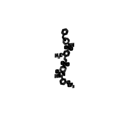 Cc1cc(S(=O)(=O)NC2CCN(Cc3ccccc3)CC2)ccc1/C=C/S(=O)(=O)N1CCC2(CC1)N=C(c1cccc(OC(F)(F)F)c1)NC2=O